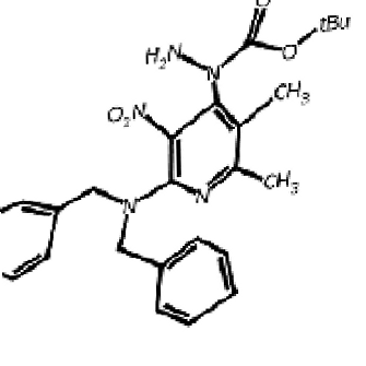 Cc1nc(N(Cc2ccccc2)Cc2ccccc2)c([N+](=O)[O-])c(N(N)C(=O)OC(C)(C)C)c1C